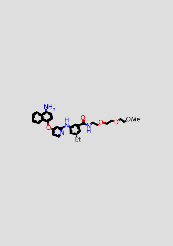 CCc1cc(Nc2cc(Oc3ccc(N)c4ccccc34)ccn2)cc(C(=O)NCCOCCOCCOC)c1